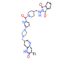 CCc1cc2ncc(CN3CCN(c4ccc(C(=O)N5CCC(CNN6C(=O)c7ccccc7C6=O)CC5)nc4)CC3)cc2[nH]c1=O